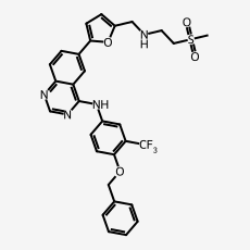 CS(=O)(=O)CCNCc1ccc(-c2ccc3ncnc(Nc4ccc(OCc5ccccc5)c(C(F)(F)F)c4)c3c2)o1